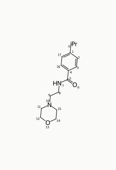 CC(C)c1ccc(C(=O)NCCN2CCOCC2)cc1